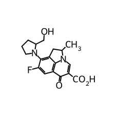 CC1Cc2c(N3CCCC3CO)c(F)cc3c(=O)c(C(=O)O)cn1c23